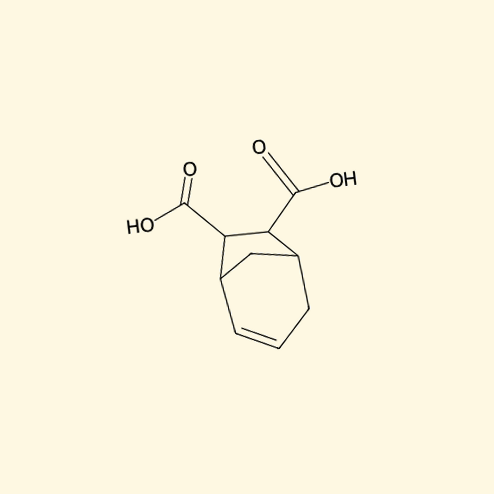 O=C(O)C1C2C=CCC(C2)C1C(=O)O